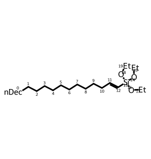 CCCCCCCCCCCCCCCCCCCCC=C[Si](OCC)(OCC)OCC